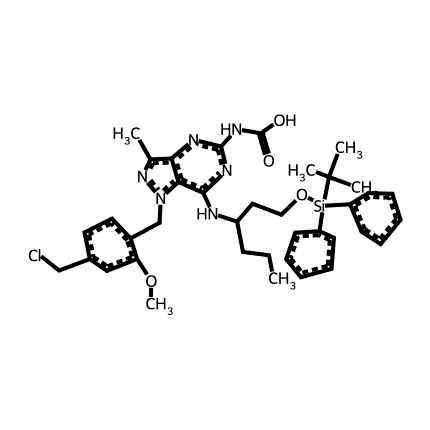 CCCC(CCO[Si](c1ccccc1)(c1ccccc1)C(C)(C)C)Nc1nc(NC(=O)O)nc2c(C)nn(Cc3ccc(CCl)cc3OC)c12